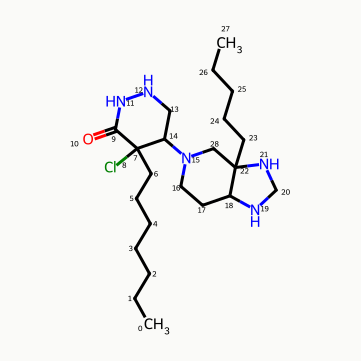 CCCCCCCC1(Cl)C(=O)NNCC1N1CCC2NCNC2(CCCCC)C1